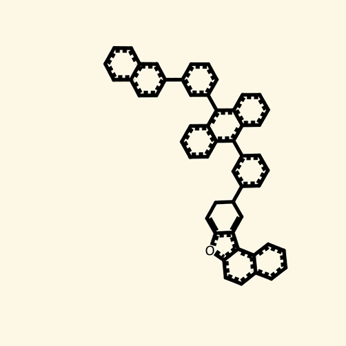 C1=c2oc3ccc4ccccc4c3c2=CC(c2cccc(-c3c4ccccc4c(-c4cccc(-c5ccc6ccccc6c5)c4)c4ccccc34)c2)C1